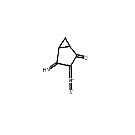 [N-]=[N+]=C1C(=N)C2CC2C1=O